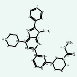 Cn1c(-c2ccncc2)nc2c(N3CCOCC3)nc(-c3ccnc(C4CCCN(C(=O)OC(C)(C)C)C4)n3)nc21